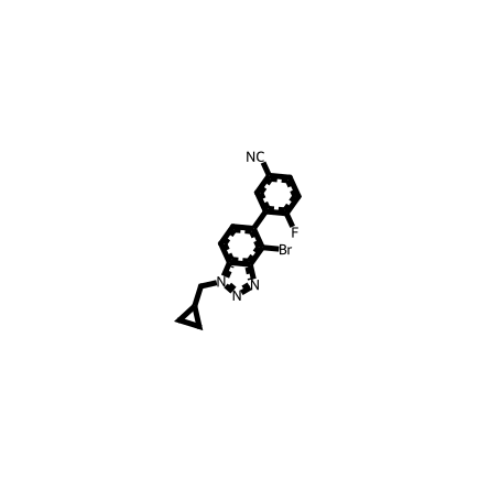 N#Cc1ccc(F)c(-c2ccc3c(nnn3CC3CC3)c2Br)c1